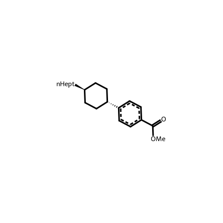 CCCCCCC[C@H]1CC[C@H](c2ccc(C(=O)OC)cc2)CC1